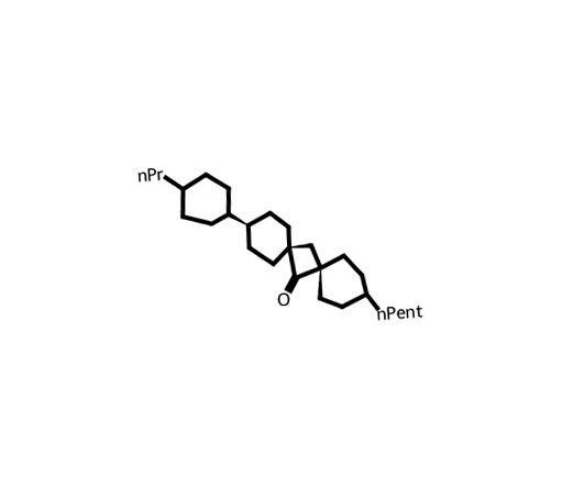 CCCCCC1CC[C@]2(CC1)C[C@@]1(CC[C@H](C3CCC(CCC)CC3)CC1)C2=O